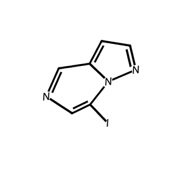 Ic1cncc2ccnn12